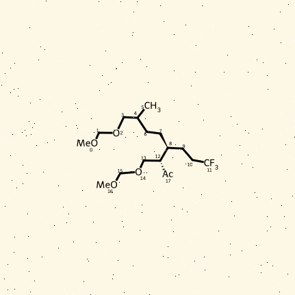 COCOCC(C)CC[C@@H](CCC(F)(F)F)[C@@H](COCOC)C(C)=O